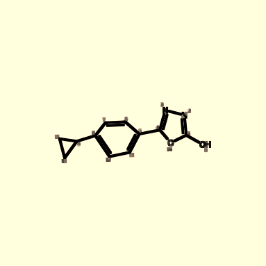 Oc1nnc(-c2ccc(C3CC3)cc2)o1